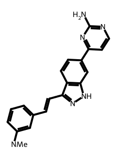 CNc1cccc(C=Cc2n[nH]c3cc(-c4ccnc(N)n4)ccc23)c1